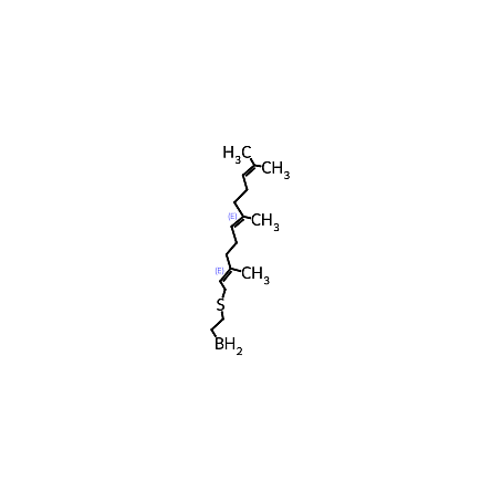 BCCSC/C=C(\C)CC/C=C(\C)CCC=C(C)C